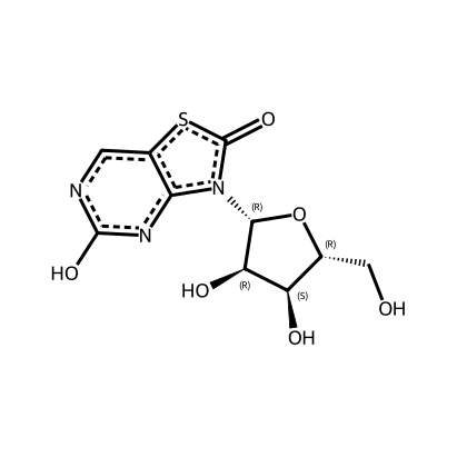 O=c1sc2cnc(O)nc2n1[C@@H]1O[C@H](CO)[C@@H](O)[C@H]1O